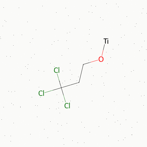 ClC(Cl)(Cl)CC[O][Ti]